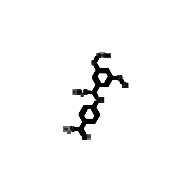 CCCCCCOc1cc(OCC)cc([C@@H](Nc2ccc(C(=N)N)cc2)C(=O)O)c1